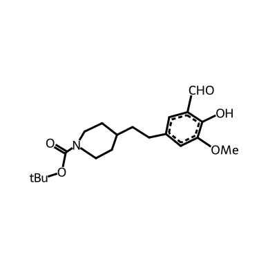 COc1cc(CCC2CCN(C(=O)OC(C)(C)C)CC2)cc(C=O)c1O